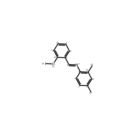 Cc1ccc(/N=C/c2ccccc2OI)c(C)c1